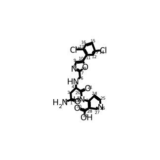 NC(=O)CC(NCc1ncc(-c2cc(Cl)ccc2Cl)o1)C(=O)Nc1ccncc1C(=O)O